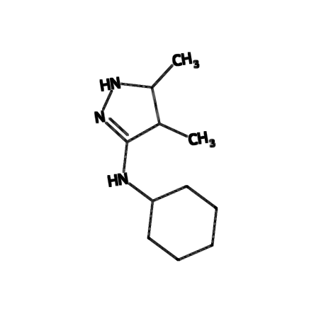 CC1NN=C(NC2CCCCC2)C1C